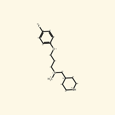 CN(CCCOc1ccc(F)cc1)CC1CCNCC1